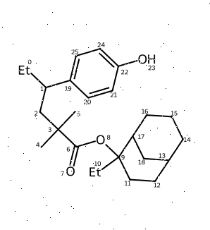 CCC(CC(C)(C)C(=O)OC1(CC)CCC2CCCC1C2)c1ccc(O)cc1